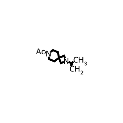 C=C(C)N1CC2(CCN(C(C)=O)CC2)C1